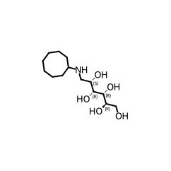 OC[C@@H](O)[C@@H](O)[C@H](O)[C@@H](O)CNC1CCCCCCC1